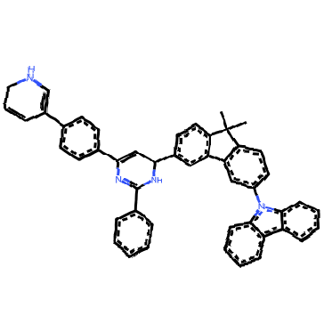 CC1(C)c2ccc(C3C=C(c4ccc(C5=CNCC=C5)cc4)N=C(c4ccccc4)N3)cc2-c2cc(-n3c4ccccc4c4ccccc43)ccc21